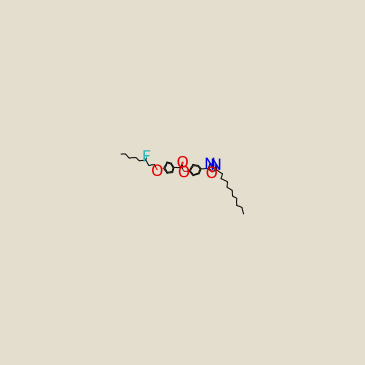 CCCCCCCCCCc1nnc(-c2ccc(OC(=O)c3ccc(OCCC(F)CCCCC)cc3)cc2)o1